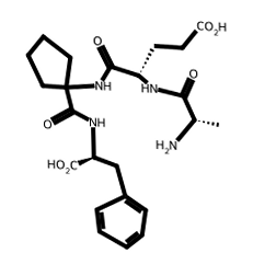 C[C@H](N)C(=O)N[C@@H](CCC(=O)O)C(=O)NC1(C(=O)N[C@@H](Cc2ccccc2)C(=O)O)CCCC1